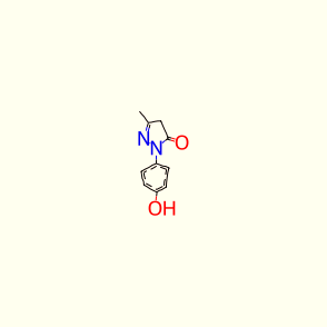 CC1=NN(c2ccc(O)cc2)C(=O)C1